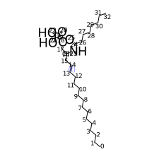 CCCCCCCCCCCCC/C=C/C[C@@H](COP(=O)(O)O)NC(=O)CCCCCCC